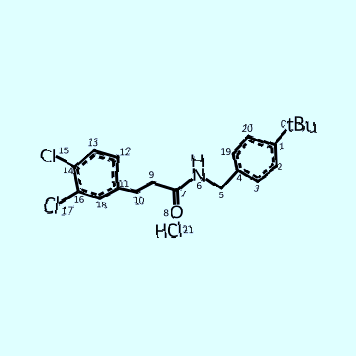 CC(C)(C)c1ccc(CNC(=O)CCc2ccc(Cl)c(Cl)c2)cc1.Cl